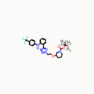 CC(C)(C)OC(=O)N1CCCC(OCCn2nnc(-c3ccccc3Nc3ccc(C(F)(F)F)cc3)n2)C1